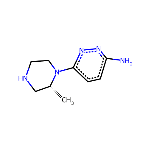 C[C@@H]1CNCCN1c1ccc(N)nn1